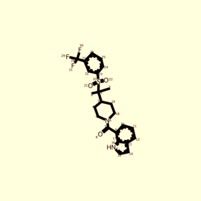 CC(C)(C1CCN(C(=O)c2cccc3cc[nH]c23)CC1)S(=O)(=O)c1cccc(C(F)(F)F)c1